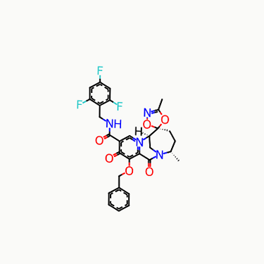 CC1=NO[C@@]2(CC[C@H](C)N3C[C@H]2n2cc(C(=O)NCc4c(F)cc(F)cc4F)c(=O)c(OCc4ccccc4)c2C3=O)O1